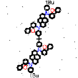 CC(C)(C)c1ccc(N(c2ccc3ccc4c(N(c5ccc(C(C)(C)c6ccc(N(c7ccc8ccc9c(N(c%10ccc(C(C)(C)C)cc%10)c%10cccc%11c%10oc%10ccccc%10%11)ccc%10ccc7c8c%109)c7cccc8c7oc7ccccc78)cc6)cc5)c5cccc6c5oc5ccccc56)ccc5ccc2c3c54)c2cccc3c2oc2ccccc23)cc1